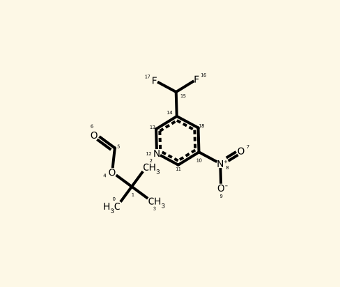 CC(C)(C)OC=O.O=[N+]([O-])c1cncc(C(F)F)c1